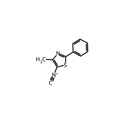 [C-]#[N+]c1sc(-c2ccccc2)nc1C